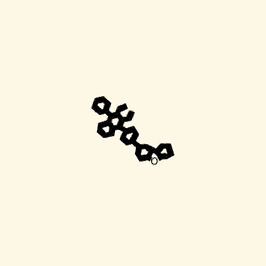 C=Cc1c(C=C)c(-c2ccc(-c3ccc4oc5ccccc5c4c3)cc2)c2ccccc2c1-c1ccccc1